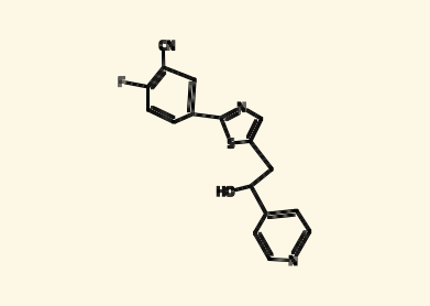 N#Cc1cc(-c2ncc(CC(O)c3ccncc3)s2)ccc1F